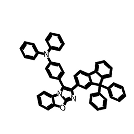 c1ccc(N(c2ccccc2)c2ccc(-c3c(-c4ccc5c(c4)C(c4ccccc4)(c4ccccc4)c4ccccc4-5)nc4oc5ccccc5n34)cc2)cc1